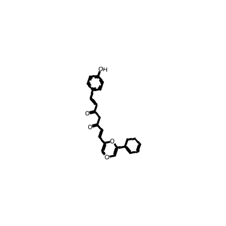 O=C(/C=C/C1=COC=C(C2=CC=CCC2)O1)CC(=O)/C=C/c1ccc(O)cc1